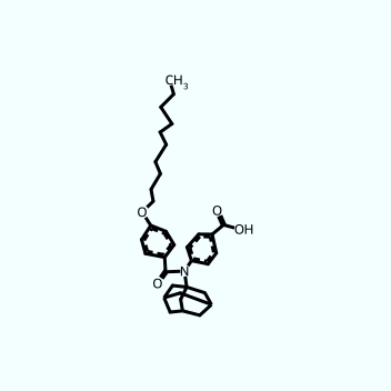 CCCCCCCCCCOc1ccc(C(=O)N(c2ccc(C(=O)O)cc2)C23CC4CC(CC(C4)C2)C3)cc1